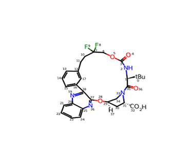 CC(C)(C)[C@@H]1NC(=O)OCC(F)(F)CCc2cccc(c2)-c2nc3ccccc3nc2O[C@@H]2C[C@@H](C(=O)O)N(C2)C1=O